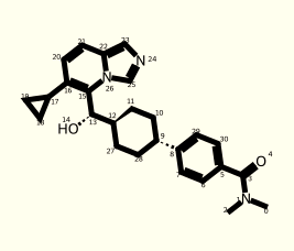 CN(C)C(=O)c1ccc([C@H]2CC[C@H]([C@H](O)c3c(C4CC4)ccc4cncn34)CC2)cc1